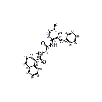 C=C/C=C\C(NC(=O)CNC(=O)c1cccc2ccccc12)=C(/C)Oc1ccccc1